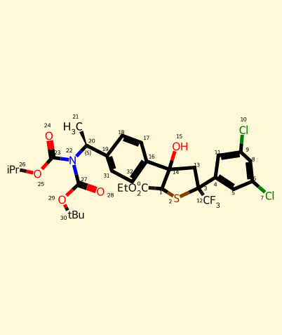 CCOC(=O)C1SC(c2cc(Cl)cc(Cl)c2)(C(F)(F)F)CC1(O)c1ccc([C@H](C)N(C(=O)OC(C)C)C(=O)OC(C)(C)C)cc1